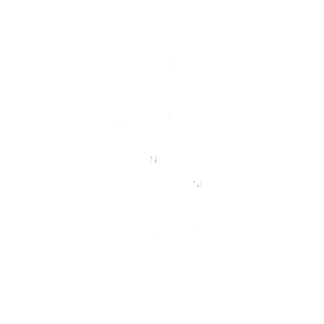 O=C1N=C(NC2CC3CCC2C3)SC12CCOCC2